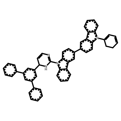 C1=CCCC(n2c3ccccc3c3cc(-c4ccc5c(c4)c4ccccc4n5C4=NC=CC(c5cc(-c6ccccc6)cc(-c6ccccc6)c5)N4)ccc32)=C1